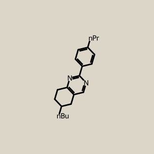 CCCCC1CCc2nc(-c3ccc(CCC)cc3)ncc2C1